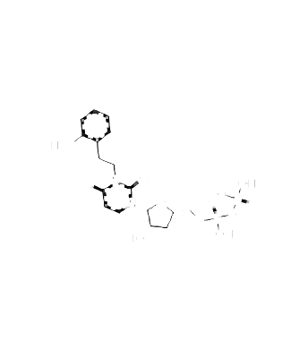 Cc1ccccc1CCn1c(=O)ccn([C@@H]2O[C@H](COP(=O)(O)OP(=O)(O)O)[C@H](O)[C@@H]2O)c1=O